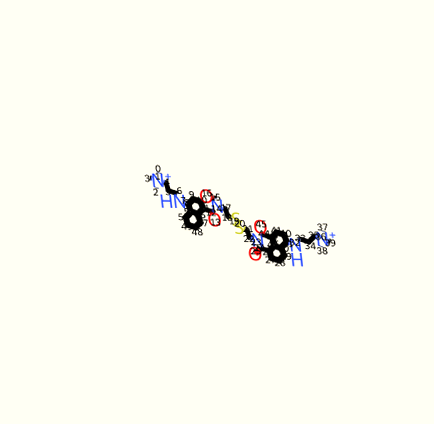 C[N+](C)(C)CCCNc1ccc(C(=O)N(C=O)CCSSCCN2C(=O)c3cccc4c(NCCC[N+](C)(C)C)ccc(c34)C2=O)c2ccccc12